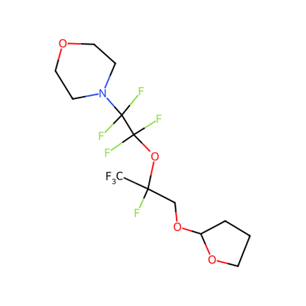 FC(F)(F)C(F)(COC1CCCO1)OC(F)(F)C(F)(F)N1CCOCC1